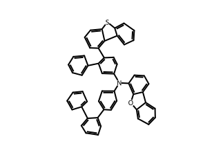 c1ccc(-c2ccccc2-c2ccc(N(c3ccc(-c4cccc5sc6ccccc6c45)c(-c4ccccc4)c3)c3cccc4c3oc3ccccc34)cc2)cc1